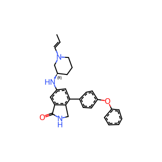 CC=CN1CCC[C@@H](Nc2cc3c(c(-c4ccc(Oc5ccccc5)cc4)c2)CNC3=O)C1